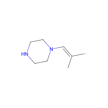 [CH2]C(C)=CN1CCNCC1